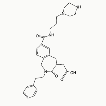 O=C(O)CC1Cc2cc(C(=O)NCCCN3CCNCC3)ccc2CN(CCc2ccccc2)C1=O